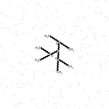 CCCCCCCCCCN(CCCCCCCCCC)C(=O)CCCCCN(CCCCCC(=O)N(CCCCCCCCCC)CCCCCCCCCC)CCCCCC(=O)N(CCCCCCCCCC)CCCCCCCCCC